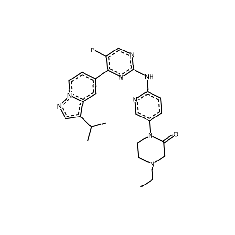 CCN1CCN(c2ccc(Nc3ncc(F)c(-c4ccn5ncc(C(C)C)c5c4)n3)nc2)C(=O)C1